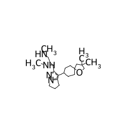 CNCC(Cc1nn2c(c1C1CCC3(CC1)CC(C)(C)CO3)CCC2)NC